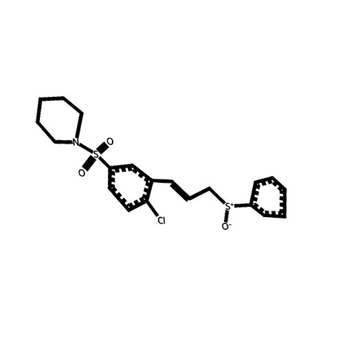 O=S(=O)(c1ccc(Cl)c(C=CC[S+]([O-])c2ccccc2)c1)N1CCCCC1